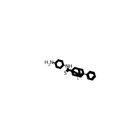 C[C@@]12CC3CC(C(=S)N[C@H]4CC[C@H](N)CC4)(C1)C[C@](c1ccccc1)(C3)C2